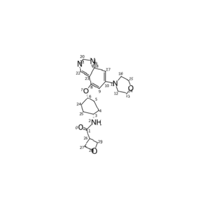 O=C(N[C@H]1CC[C@@H](Oc2cc(N3CCOCC3)cc3ncncc23)CC1)C1COC1